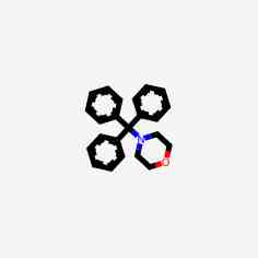 [CH]1CN(C(c2ccccc2)(c2ccccc2)c2ccccc2)CCO1